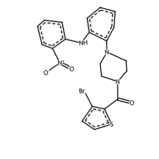 O=C(c1sccc1Br)N1CCN(c2ccccc2Nc2ccccc2[N+](=O)[O-])CC1